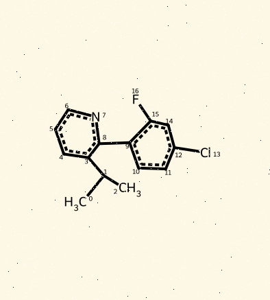 CC(C)c1cccnc1-c1ccc(Cl)cc1F